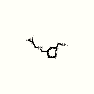 NCc1cccc(CNCC2CO2)c1